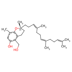 CC(C)=CCCC(C)=CCCC(C)=CCC[C@]1(C)CCc2c(CO)c(O)cc(C)c2O1